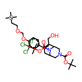 CC(C)(C)OC(=O)N1CC2CC(c3ccc(OCOCC[Si](C)(C)C)cc3)=C(CO)C(C1)N2C(=O)OC(C)(C)C(Cl)(Cl)Cl